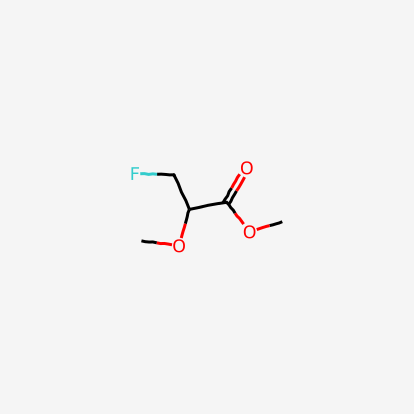 COC(=O)C(CF)OC